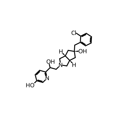 Oc1ccc(C(O)CN2C[C@@H]3C[C@](O)(Cc4ccccc4Cl)C[C@@H]3C2)nc1